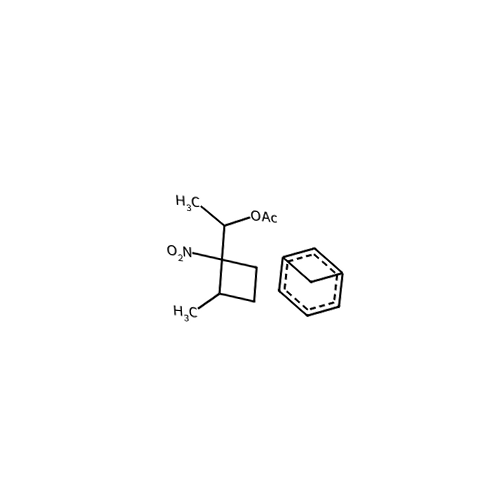 CC(=O)OC(C)C1([N+](=O)[O-])CCC1C.c1cc2cc(c1)C2